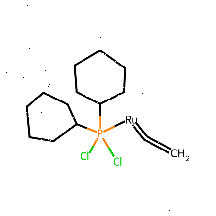 C=[C]=[Ru][P](Cl)(Cl)(C1CCCCC1)C1CCCCC1